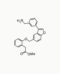 COC(=O)Cc1ccccc1OCc1ccc2occ(-c3cccc(CN)c3)c2c1